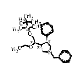 CCO[C@@H](CO[Si](C)(C)C(C)(C)C)[C@H]1CN(Cc2ccccc2)C[C@@H]1c1ccccc1